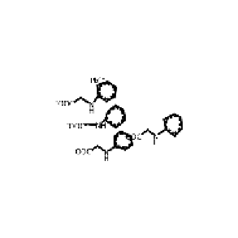 O=C([O-])CNc1ccccc1.O=C([O-])CNc1ccccc1.O=C([O-])CNc1ccccc1.O=C([O-])CNc1ccccc1.[Pb+4]